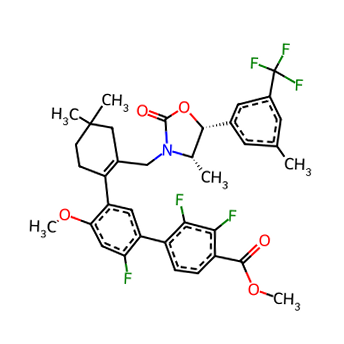 COC(=O)c1ccc(-c2cc(C3=C(CN4C(=O)O[C@H](c5cc(C)cc(C(F)(F)F)c5)[C@@H]4C)CC(C)(C)CC3)c(OC)cc2F)c(F)c1F